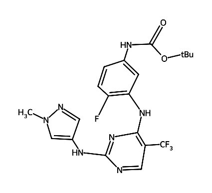 Cn1cc(Nc2ncc(C(F)(F)F)c(Nc3cc(NC(=O)OC(C)(C)C)ccc3F)n2)cn1